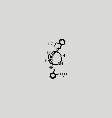 O=C(O)c1ccccc1CNC12CNCCNCC(NCc3ccccc3C(=O)O)(CNCCNC1)CNCCNC2